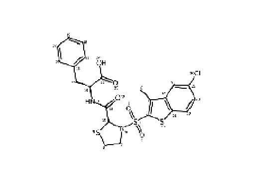 Cc1c(S(=O)(=O)N2CCSC2C(=O)N[C@@H](Cc2ccccc2)C(=O)O)sc2ccc(Cl)cc12